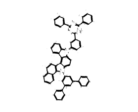 c1ccc(-c2cc(-c3ccccc3)cc(-n3c4ccc5c(c6ccccc6n5-c5cccc(-c6nc(-c7ccccc7)nc(-c7ccccc7)n6)c5)c4c4ccc5ccccc5c43)c2)cc1